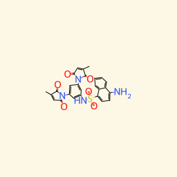 CC1=CC(=O)N(c2cc(NS(=O)(=O)c3ccc(N)c4ccccc34)cc(N3C(=O)C=C(C)C3=O)c2)C1=O